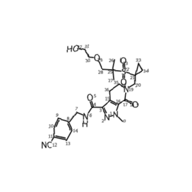 Cn1nc(C(=O)NCc2ccc(C#N)cc2)c2c1C(=O)N(CC1(S(=O)(=O)C(C)(C)COCCO)CC1)CC2